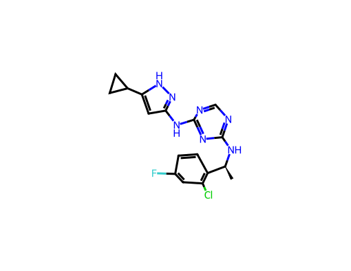 C[C@H](Nc1ncnc(Nc2cc(C3CC3)[nH]n2)n1)c1ccc(F)cc1Cl